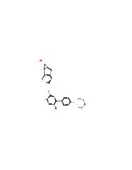 CC1(O)CCN(c2ccc(-c3cc(COc4cc5c(cn4)[C@H]4C(=C5)[C@@H]4C(=O)O)c(F)cc3C(F)(F)F)c(F)c2)CC1